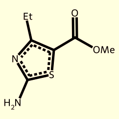 CCc1nc(N)sc1C(=O)OC